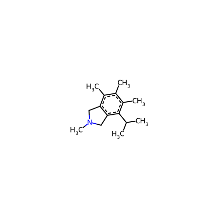 Cc1c(C)c2c(c(C(C)C)c1C)CN(C)C2